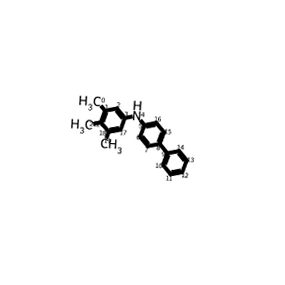 Cc1cc(Nc2ccc(-c3ccccc3)cc2)cc(C)c1C